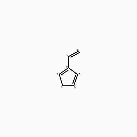 C=CC1=CC[C]=C1